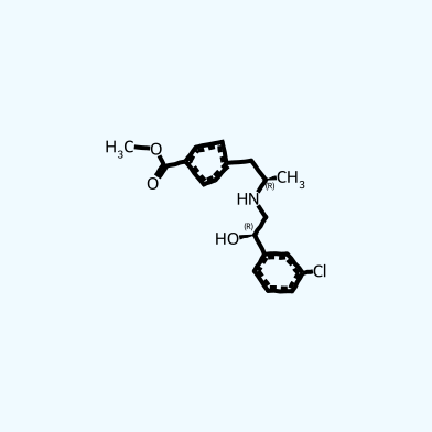 COC(=O)c1ccc(C[C@@H](C)NC[C@H](O)c2cccc(Cl)c2)cc1